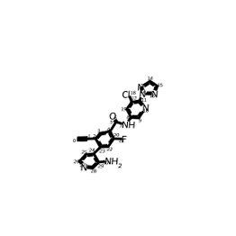 C#Cc1cc(C(=O)Nc2cnc(-n3nccn3)c(Cl)c2)c(F)cc1-c1ccncc1N